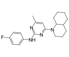 Cc1cc(N2CCCC3CCCCC32)nc(Nc2ccc(F)cc2)n1